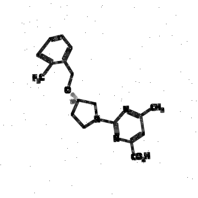 Cc1cc(C(=O)O)nc(N2CC[C@H](OCc3ccccc3C(F)(F)F)C2)n1